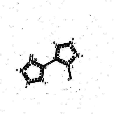 Cn1nnnc1-c1nnn[nH]1